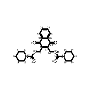 O=C1C(CSC(=S)N2CCCCC2)=C(CSC(=S)N2CCCCC2)C(=O)c2ccccc21